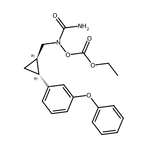 CCOC(=O)ON(C[C@@H]1C[C@H]1c1cccc(Oc2ccccc2)c1)C(N)=O